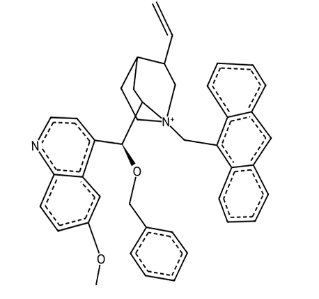 C=CC1C[N+]2(Cc3c4ccccc4cc4ccccc34)CCC1CC2[C@@H](OCc1ccccc1)c1ccnc2ccc(OC)cc12